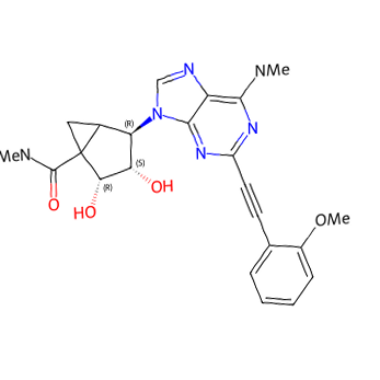 CNC(=O)C12CC1[C@@H](n1cnc3c(NC)nc(C#Cc4ccccc4OC)nc31)[C@H](O)[C@@H]2O